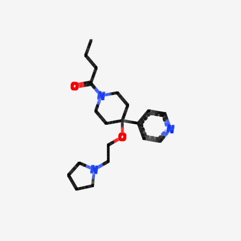 CCCC(=O)N1CCC(OCCN2CCCC2)(c2ccncc2)CC1